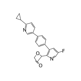 O=C1COC1c1ncc(F)cc1-c1ccc(-c2ccc(C3CC3)nc2)cc1